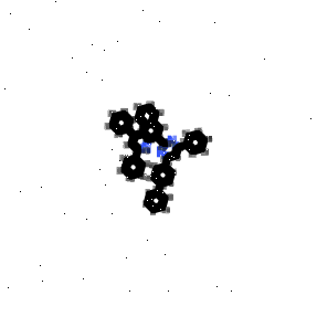 c1ccc(-c2ccc(-c3cc(-c4ccccc4)nc(-c4cc5ccccc5c5c(-c6ccccc6)cc(-c6ccccc6)nc45)n3)cc2)cc1